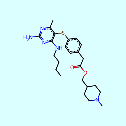 CCCCNc1nc(N)nc(C)c1Sc1ccc(CC(=O)OCC2CCN(C)CC2)cc1